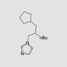 CCCCC(CC1CCCC1)Cn1ccnc1